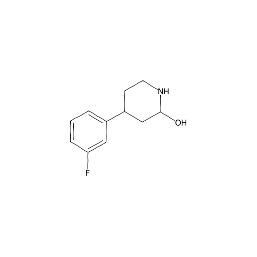 OC1CC(c2cccc(F)c2)CCN1